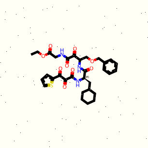 CCOC(=O)CNC(=O)C(=O)C(COCc1ccccc1)NC(=O)[C@@H](CC1CCCCC1)NC(=O)C(=O)C(=O)c1cccs1